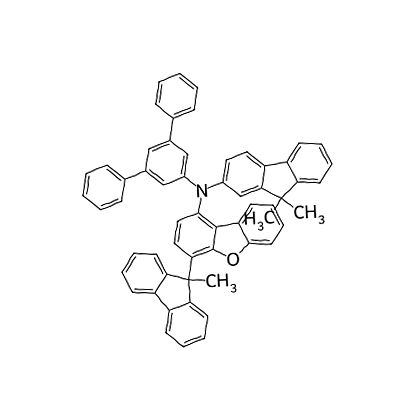 CC1(C)c2ccccc2-c2ccc(N(c3cc(-c4ccccc4)cc(-c4ccccc4)c3)c3ccc(C4(C)c5ccccc5-c5ccccc54)c4oc5ccccc5c34)cc21